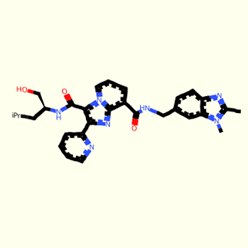 Cc1nc2ccc(CNC(=O)c3cccn4c(C(=O)N[C@H](CO)CC(C)C)c(-c5ccccn5)nc34)cc2n1C